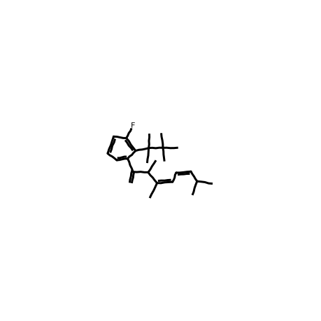 C=C(c1cccc(F)c1C(C)(C)C(C)(C)C)C(C)/C(C)=C\C=C/C(C)C